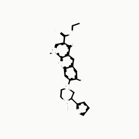 CCOC(=O)c1cn(C)c2nc3cc(N4CCNC(c5ccco5)C4)c(F)cc3cc2c1=O